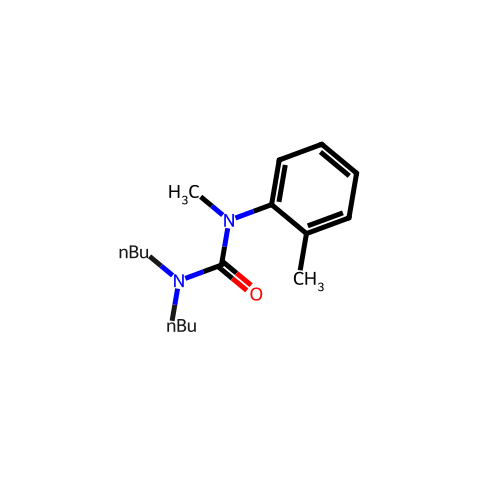 CCCCN(CCCC)C(=O)N(C)c1ccccc1C